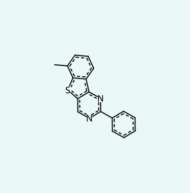 Cc1cccc2c1sc1cnc(-c3ccccc3)nc12